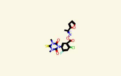 C/C(=N\OC(=O)c1cc(-n2c(=O)n(C)c(=S)n(C)c2=O)c(F)cc1Cl)c1ccco1